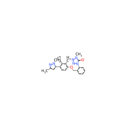 Cc1cc(-c2ccc(OCc3ccccc3-n3nnn(C)c3=O)c(C)c2C2CC2)n(C)n1